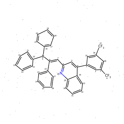 FC(F)(F)c1cc(-c2cc(/C=C(/B(c3ccccc3)c3ccccc3)c3ccccc3)nc3ccccc23)cc(C(F)(F)F)c1